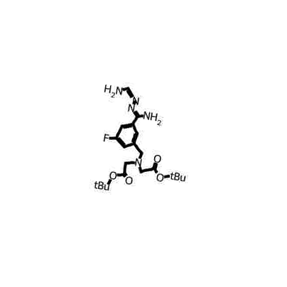 CC(C)(C)OC(=O)CN(CC(=O)OC(C)(C)C)Cc1cc(F)cc(/C(N)=N/N=C\N)c1